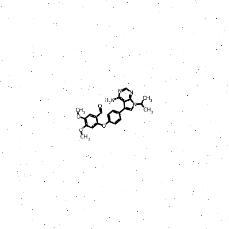 COc1cc(C=O)c(Oc2ccc(-c3cn(C(C)C)c4ncnc(N)c34)cc2)cc1OC